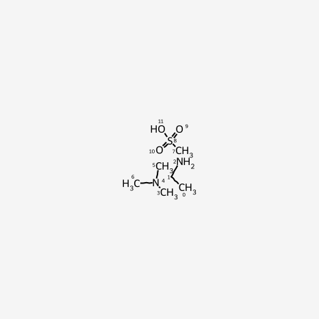 CCN.CN(C)C.CS(=O)(=O)O